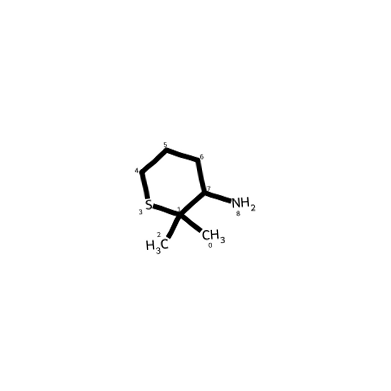 CC1(C)SCCCC1N